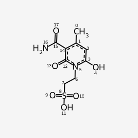 Cc1cc(O)n(CCS(=O)(=O)O)c(=O)c1C(N)=O